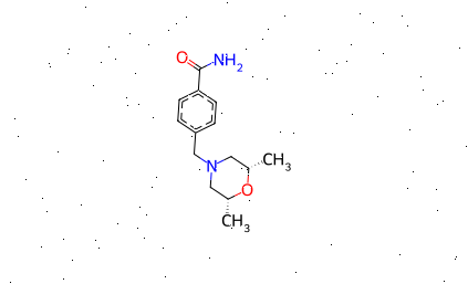 C[C@@H]1CN(Cc2ccc(C(N)=O)cc2)C[C@H](C)O1